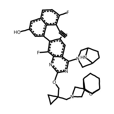 C#Cc1c(F)ccc2cc(O)cc(-c3c(C#N)cc4c(N5CC6CCC(C5)N6)nc(OCC5(CN6CC7(CC8CCC7CO8)C6)CC5)nc4c3F)c12